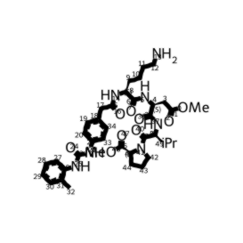 COC(=O)C[C@H](NC(=O)[C@H](CCCCN)NC(=O)Cc1ccc(NC(=O)Nc2ccccc2C)cc1)C(=O)N[C@H](C(=O)N1CCC[C@H]1C(=O)OC)C(C)C